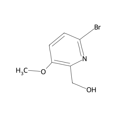 COc1ccc(Br)nc1CO